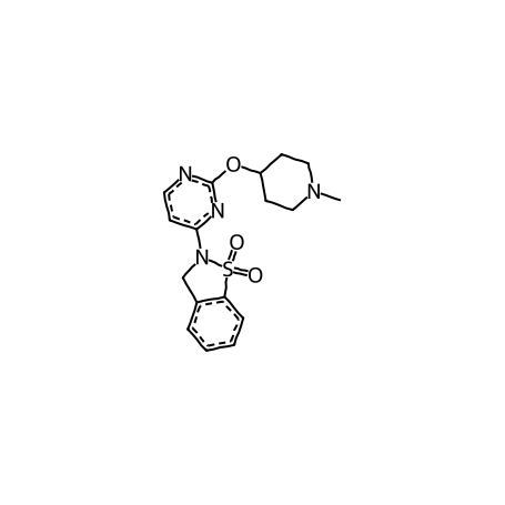 CN1CCC(Oc2nccc(N3Cc4ccccc4S3(=O)=O)n2)CC1